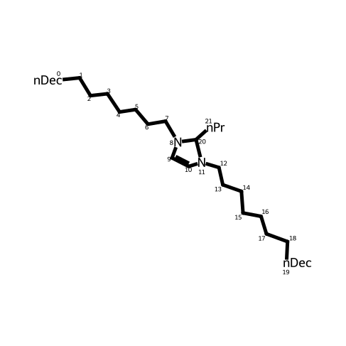 CCCCCCCCCCCCCCCCCN1C=CN(CCCCCCCCCCCCCCCCC)C1CCC